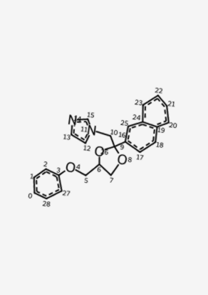 c1ccc(OCC2COC(Cn3ccnc3)(c3ccc4ccccc4c3)O2)cc1